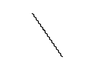 CCCCCCCCCCC=CCCCCCCCCCCCCCCCC